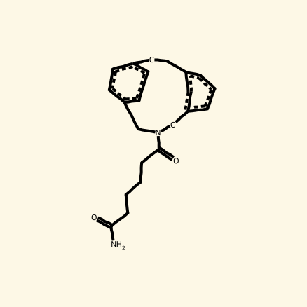 NC(=O)CCCCC(=O)N1Cc2ccc(cc2)CCc2cccc(c2)C1